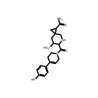 CCCc1ccc(C2=CCN(C(=O)C3NCC4(CC3C(=O)O)CC4C(N)=O)CC2)cc1